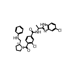 CC(NC(=O)c1ccc(C(=O)N2CCC[C@H]2CNc2ccccc2)c(Cl)c1)c1nc2cc(Cl)ccc2[nH]1